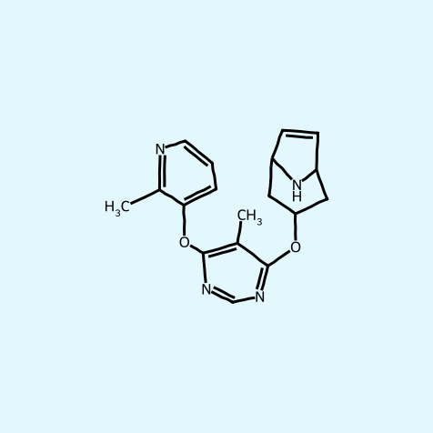 Cc1ncccc1Oc1ncnc(OC2CC3C=CC(C2)N3)c1C